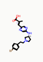 C/C(=C\c1cnc(N[C@@H]2CCN(CCc3ccc(Br)cc3)C2)cn1)C(=O)O